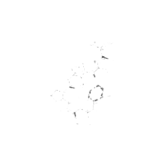 CC[C@H](C)[C@@H]([C@@H](CC(=O)N1CCCC1[C@H](OC)[C@@H](C)C(=O)NC(Cc1ccccc1)C(=O)O)OC)N(C)C(=O)C(NC(=O)C(NC)C(C)C)C(C)C.Cl